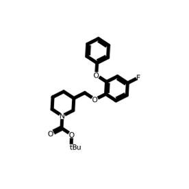 CC(C)(C)OC(=O)N1CCCC(COc2ccc(F)cc2Oc2ccccc2)C1